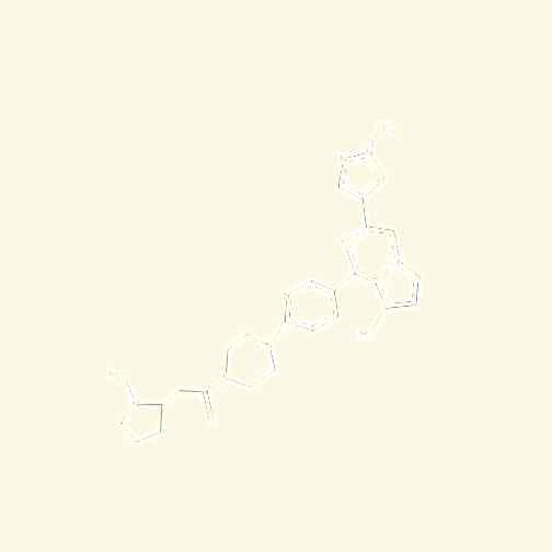 CN1CCCC1CC(=O)N1CCN(c2ccc(-c3nc(-c4cnn(C)c4)cn4ncc(C#N)c34)cn2)CC1